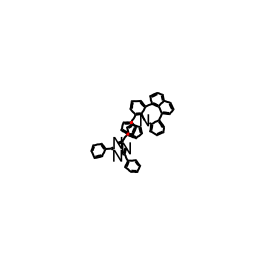 c1ccc(-c2nc(-c3ccccc3)nc(-c3ccc(-c4cccc5c4N(c4ccccc4)c4ccccc4-c4cccc6cccc-5c46)cc3)n2)cc1